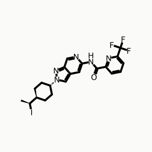 C[C@H](I)[C@H]1CC[C@H](n2cc3cc(NC(=O)c4cccc(C(F)(F)F)n4)ncc3n2)CC1